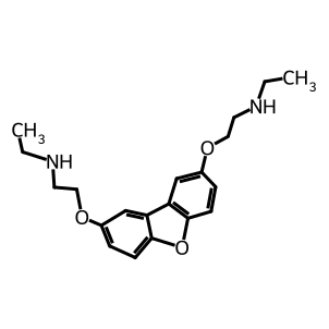 CCNCCOc1ccc2oc3ccc(OCCNCC)cc3c2c1